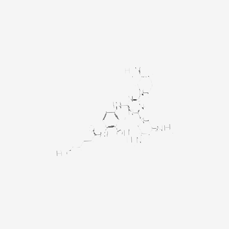 CCCCCC(=O)Nc1ccc(Nc2nc(N3CC(N)CC(N)C3)nc(N3CCC[C@H](N)C3)n2)cc1O